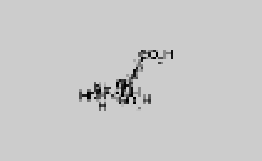 N=C(N)NCCCC(NC(=O)CCCCCCCC(=O)O)C(=O)O